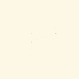 CO[C@@H](C)C1CN(c2ccccc2)c2cc(Cl)c(-c3ccc(F)c(C(=O)O)c3)cc2S(O)(O)N1C